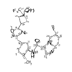 Cc1ccc(-c2noc(C3CC(O)(C(F)(F)F)C3)n2)cc1NC(=O)c1cnc2ccc(F)cn12